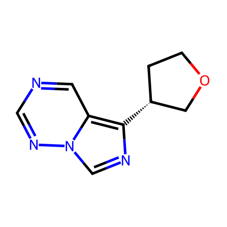 c1ncc2c([C@@H]3CCOC3)ncn2n1